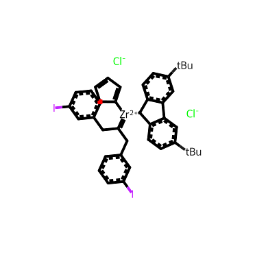 CC(C)(C)c1ccc2c(c1)-c1cc(C(C)(C)C)ccc1[CH]2[Zr+2]([C]1=CC=CC1)=[C](Cc1cccc(I)c1)Cc1cccc(I)c1.[Cl-].[Cl-]